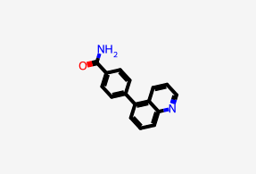 NC(=O)c1ccc(-c2cccc3ncccc23)cc1